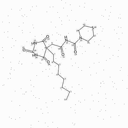 CCCCCCCCC1(CC(=O)NC(=O)N2CCSCC2)C(=O)NC(=O)NC1=O